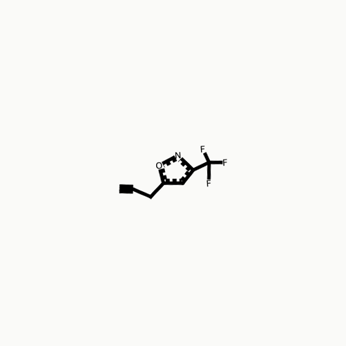 C#C[CH]c1cc(C(F)(F)F)no1